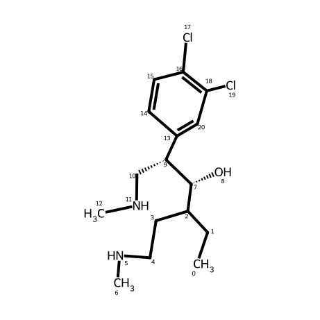 CCC(CCNC)[C@@H](O)[C@H](CNC)c1ccc(Cl)c(Cl)c1